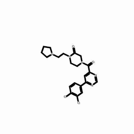 O=C1CN(C(=O)c2cc(-c3ccc(Cl)c(Cl)c3)ncn2)CCN1CCN1CCCC1